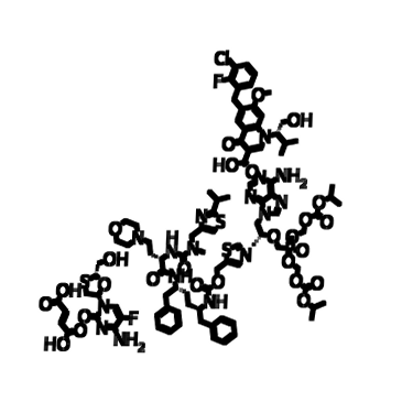 CC(C)OC(=O)OCOP(=O)(CO[C@H](C)Cn1cnc2c(N)ncnc21)OCOC(=O)OC(C)C.CC(C)c1nc(CN(C)C(=O)N[C@@H](CCN2CCOCC2)C(=O)N[C@H](CC[C@H](Cc2ccccc2)NC(=O)OCc2cncs2)Cc2ccccc2)cs1.COc1cc2c(cc1Cc1cccc(Cl)c1F)c(=O)c(C(=O)O)cn2[C@H](CO)C(C)C.Nc1nc(=O)n([C@@H]2CS[C@H](CO)O2)cc1F.O=C(O)/C=C/C(=O)O